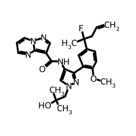 C=CCC(C)(F)c1ccc(OC)c(-c2nn(CC(C)(C)O)cc2NC(=O)c2cnn3cccnc23)c1